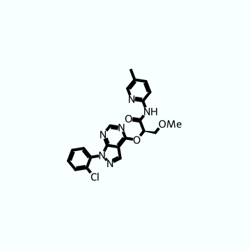 COC[C@@H](Oc1ncnc2c1cnn2-c1ccccc1Cl)C(=O)Nc1ccc(C)cn1